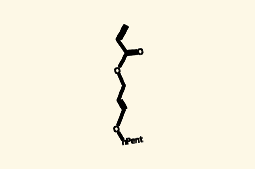 C=CC(=O)OCC=COCCCCC